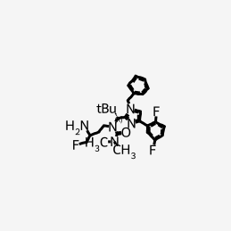 CN(C)C(=O)N(CCC(N)CF)[C@@H](c1nc(-c2cc(F)ccc2F)cn1Cc1ccccc1)C(C)(C)C